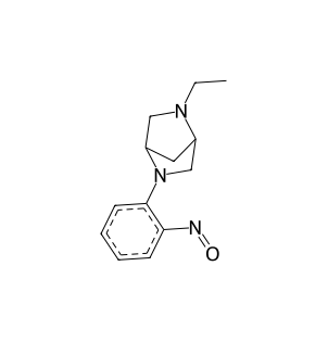 CCN1CC2CC1CN2c1ccccc1N=O